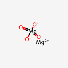 [Mg+2].[O]=[Mn](=[O])([O-])[O-]